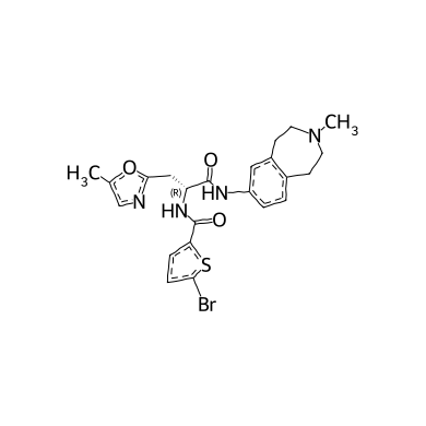 Cc1cnc(C[C@@H](NC(=O)c2ccc(Br)s2)C(=O)Nc2ccc3c(c2)CCN(C)CC3)o1